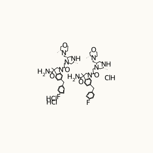 C[C@@H]1CN(CC(=O)N2CC(C)(C(N)=O)c3ccc(Cc4ccc(F)cc4)cc32)[C@@H](CN2CCOC[C@H]2C)CN1.C[C@@H]1CN(CC(=O)N2CC(C)(C(N)=O)c3ccc(Cc4ccc(F)cc4)cc32)[C@@H](CN2CCOC[C@H]2C)CN1.Cl.Cl.Cl